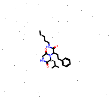 CCCCCNC(=O)C(CCc1ccccc1)N1C(=O)CNC(=O)[C@@H]1CC(C)C